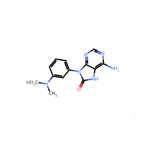 CN(C(=O)O)c1cccc(-n2c(=O)[nH]c3c(N)ncnc32)c1